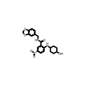 O=C(NCc1ccc2c(c1)OCO2)c1cc([N+](=O)[O-])ccc1NC1CCC(O)CC1